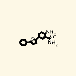 NC(=O)c1cc(-c2ccc(-c3ccccc3)s2)ccc1N